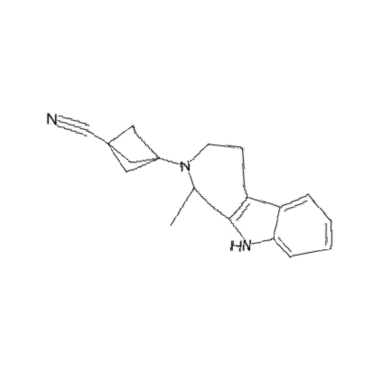 CC1c2[nH]c3ccccc3c2CCN1C12CC(C#N)(C1)C2